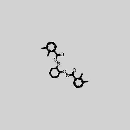 Cc1cccc(C(=O)OO[C]2CC[CH]CC2OOC(=O)c2cccc(C)c2C)c1C